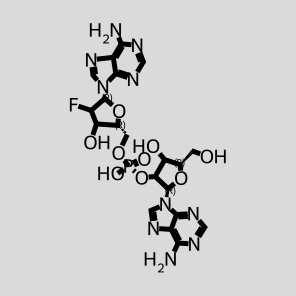 Nc1ncnc2c1ncn2[C@@H]1O[C@H](COP(=O)(O)OC2C(O)[C@@H](CO)O[C@H]2n2cnc3c(N)ncnc32)C(O)C1F